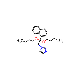 CCCCOC(Cn1ccnc1)(OCCCC)c1cccc2ccccc12